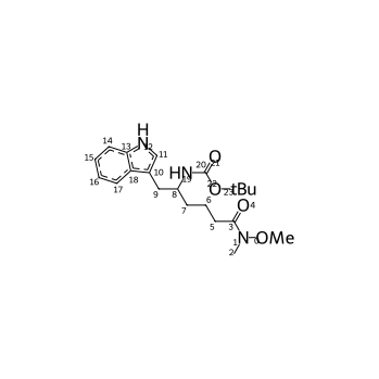 CON(C)C(=O)CCCC(Cc1c[nH]c2ccccc12)NC(=O)OC(C)(C)C